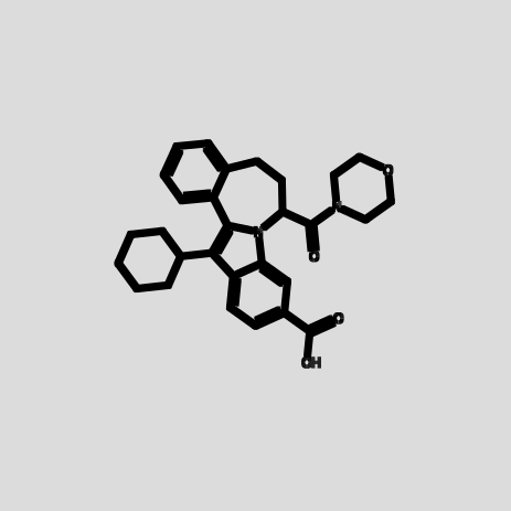 O=C(O)c1ccc2c(C3CCCCC3)c3n(c2c1)C(C(=O)N1CCOCC1)CCc1ccccc1-3